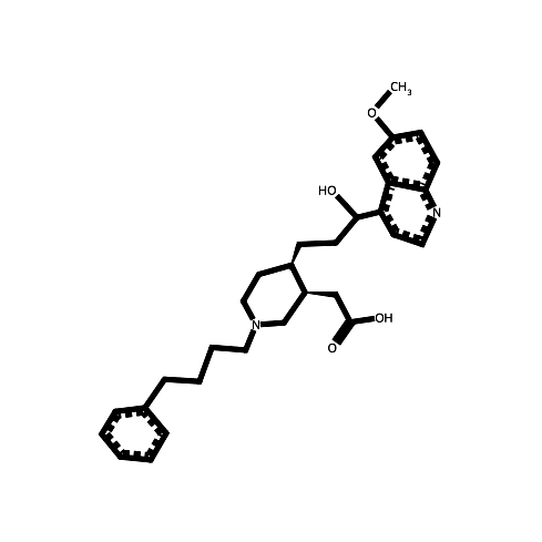 COc1ccc2nccc(C(O)CC[C@@H]3CCN(CCCCc4ccccc4)C[C@@H]3CC(=O)O)c2c1